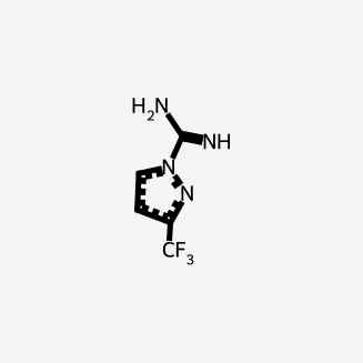 N=C(N)n1ccc(C(F)(F)F)n1